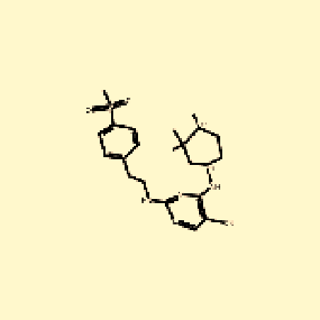 C[C@H]1CC[C@@H](Nc2nc(NCCc3ccc(S(C)(=O)=O)cc3)ncc2C#N)CC1(C)C